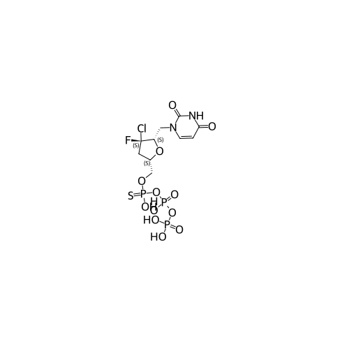 O=c1ccn(C[C@@H]2O[C@H](COP(O)(=S)OP(=O)(O)OP(=O)(O)O)C[C@]2(F)Cl)c(=O)[nH]1